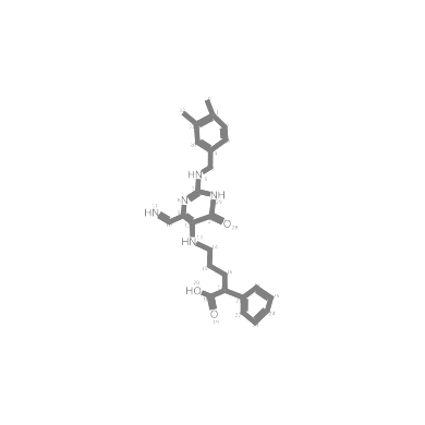 Cc1ccc(CNc2nc(C=N)c(NCCCC(C(=O)O)c3ccccc3)c(=O)[nH]2)cc1C